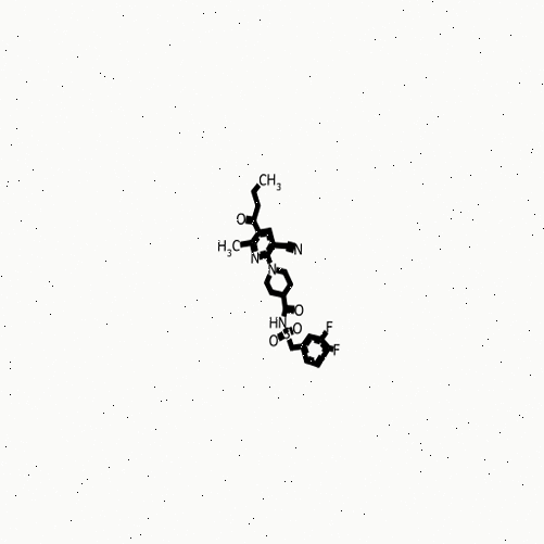 CCCC(=O)c1cc(C#N)c(N2CCC(C(=O)NS(=O)(=O)Cc3ccc(F)c(F)c3)CC2)nc1C